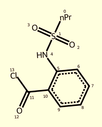 CCCS(=O)(=O)Nc1ccccc1C(=O)Cl